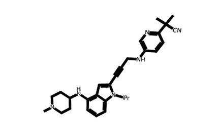 CC(C)n1c(C#CCNc2ccc(C(C)(C)C#N)nc2)cc2c(NC3CCN(C)CC3)cccc21